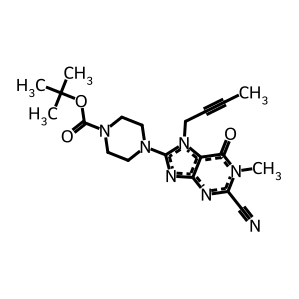 CC#CCn1c(N2CCN(C(=O)OC(C)(C)C)CC2)nc2nc(C#N)n(C)c(=O)c21